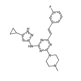 CN1CCN(c2nc(/C=C/c3cccc(F)c3)nc(Nc3cc(C4CC4)[nH]n3)n2)CC1